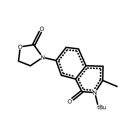 Cc1cc2ccc(N3CCOC3=O)cc2c(=O)n1C(C)(C)C